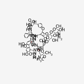 COC1C(N)CC(O[C@@H]2c3ccc(c(Cl)c3)Oc3cc4cc(c3O[C@@H]3OC(CO)[C@@H](O)C(O)C3OC3CC(N)C(O)[C@H](C)O3)Oc3ccc(cc3)[C@H]3OC(=O)N[C@H]3C(=O)N[C@@H](Cc3ccccc3)C(=O)N[C@@H]4C(=O)N[C@@H]3C(=O)N[C@@H]2C(=O)N[C@H](C(=O)O)c2cc(O)cc(O)c2-c2cc3ccc2CO)O[C@H]1C